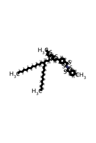 CCCCCCCCCCCCC(CCCCCCCCCCCC)CCn1c2cc(C)sc2c2sc(-c3ccc4c(c3)S/C(=C3/Sc5cc(C)ccc5C3=S)C4=S)cc21